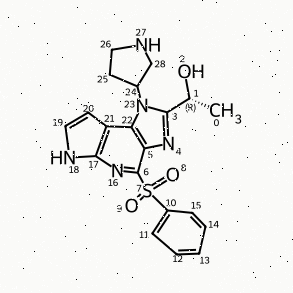 C[C@@H](O)c1nc2c(S(=O)(=O)c3ccccc3)nc3[nH]ccc3c2n1C1CCNC1